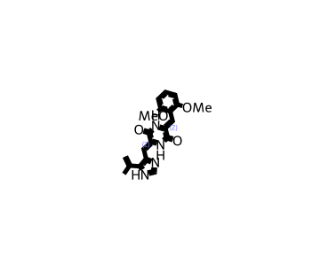 C=C(C)c1[nH]cnc1/C=c1\[nH]c(=O)/c(=C/c2c(OC)cccc2OC)[nH]c1=O